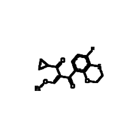 CCOC=C(C(=O)c1ccc(F)c2c1OCCS2)C(=O)C1CC1